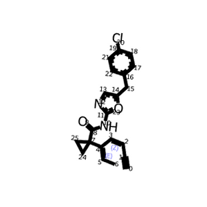 C#C/C=C\C(=C/C)C1(C(=O)Nc2ncc(Cc3ccc(Cl)cc3)o2)CC1